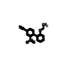 CCOc1ccccc1-c1ccc(C#N)cc1[N+](=O)[O-]